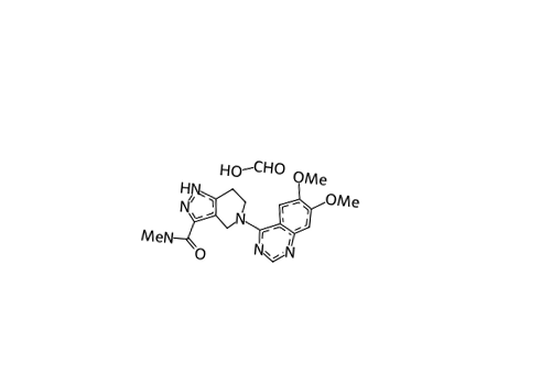 CNC(=O)c1n[nH]c2c1CN(c1ncnc3cc(OC)c(OC)cc13)CC2.O=CO